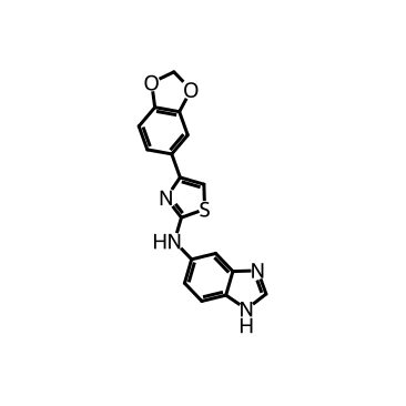 c1nc2cc(Nc3nc(-c4ccc5c(c4)OCO5)cs3)ccc2[nH]1